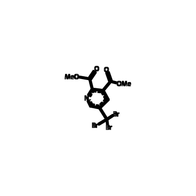 COC(=O)c1cc(C(Br)(Br)Br)cnc1C(=O)OC